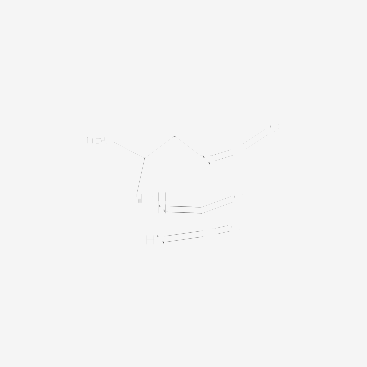 CCCCC(CCC)CN=C=O.N=C=O.N=C=O